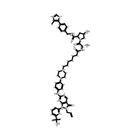 C=CCn1c(=O)c2cnc(Nc3ccc(N4CCN(CCCCCCC(=O)N[C@H](C(=O)N5CC(O)CC5C(=O)NCc5ccc(-c6scnc6C)cc5)C(C)(C)C)CC4)cc3)nc2n1-c1cccc(C(C)(C)O)n1